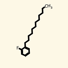 CCCCCCCCCCCCc1cc[c]cc1F